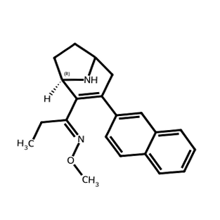 CCC(=NOC)C1=C(c2ccc3ccccc3c2)CC2CC[C@H]1N2